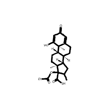 CCC(=O)OC1(C(=O)S)C(C)C[C@H]2[C@@H]3CCC4=CC(=O)C=C(O)[C@]4(C)[C@H]3CC[C@@]21C